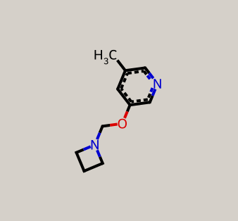 Cc1cncc(OCN2CCC2)c1